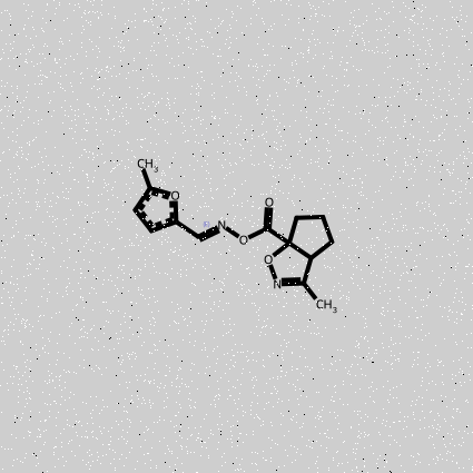 CC1=NOC2(C(=O)O/N=C/c3ccc(C)o3)CCCC12